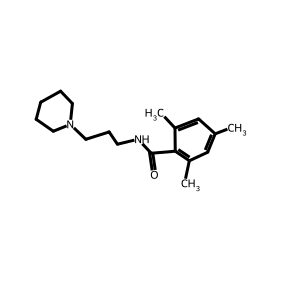 Cc1cc(C)c(C(=O)NCCCN2CCCCC2)c(C)c1